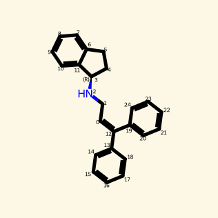 C(CN[C@@H]1CCc2ccccc21)=C(c1ccccc1)c1ccccc1